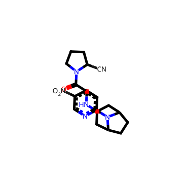 N#CC1CCCN1C(=O)CNC1CC2CCC(C1)N2c1ccc([N+](=O)[O-])cn1